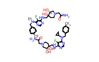 CCN(Cc1ccc(C(F)(F)F)cc1)c1ncnc(NC[C@@]2(O)CCN(CC(N)=O)C[C@H]2O)c1F.NC(=O)CN1CC[C@@](O)(CNc2ncnc(N(Cc3ccc(C(F)(F)F)cc3)C3CC3)c2F)[C@H](O)C1